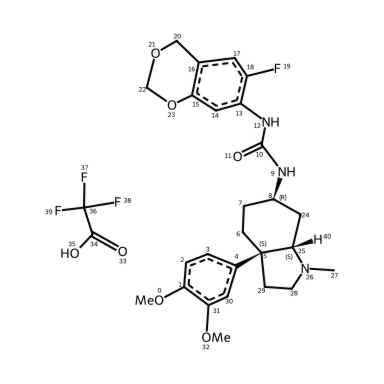 COc1ccc([C@@]23CC[C@@H](NC(=O)Nc4cc5c(cc4F)COCO5)C[C@@H]2N(C)CC3)cc1OC.O=C(O)C(F)(F)F